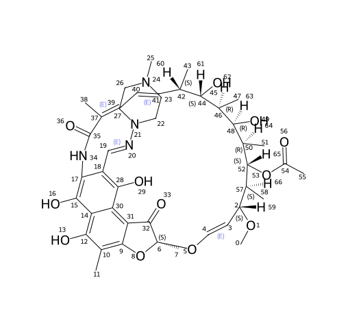 CO[C@@H]1/C=C/O[C@@]2(C)Oc3c(C)c(O)c4c(O)c(c(/C=N/N5CCN(C)CC5)c(O)c4c3C2=O)NC(=O)/C(C)=C/C=C/[C@H](C)[C@H](O)[C@@H](C)[C@@H](O)[C@@H](C)[C@H](OC(C)=O)[C@H]1C